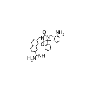 CC1(c2ccccc2)C(=O)N(Cc2ccc3ccc(C(=N)N)cc3c2)C(=O)N1Cc1ccccc1N